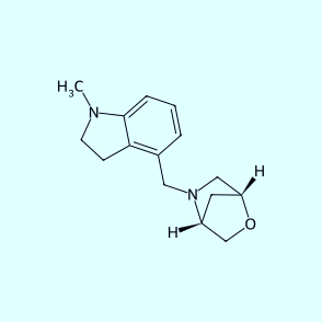 CN1CCc2c(CN3C[C@H]4C[C@@H]3CO4)cccc21